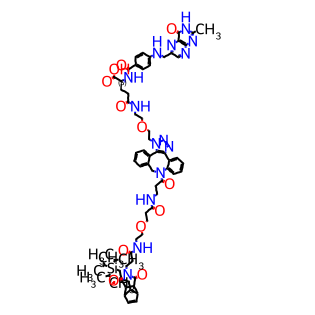 Cc1nc2ncc(CNc3ccc(C(=O)N[C@@H](CCC(=O)NCCOCCn4nnc5c4-c4ccccc4CN(C(=O)CCNC(=O)CCOCCNC(=O)CCN4C(=O)C6C7C=CC(C7CCC[Si](C(C)C)(C(C)C)C(C)C)C6C4=O)c4ccccc4-5)C(=O)O)cc3)nc2c(=O)[nH]1